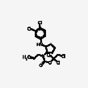 C=CCN(C(=O)OC(Cl)(Cl)CCl)C1CCCC1Nc1ccc(Cl)c(Cl)c1